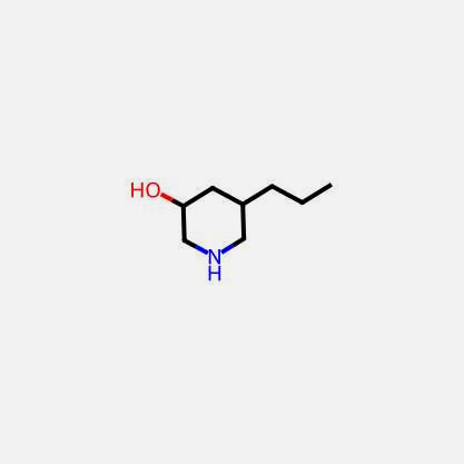 CCCC1CNCC(O)C1